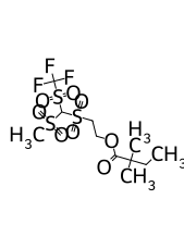 CCC(C)(C)C(=O)OCCS(=O)(=O)C(S(C)(=O)=O)S(=O)(=O)C(F)(F)F